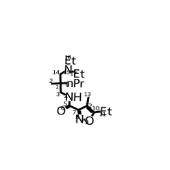 CCCC(C)(CNC(=O)c1noc(CC)c1C)CN(CC)CC